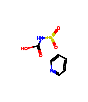 O=C(O)N[SH](=O)=O.c1ccncc1